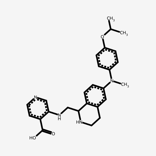 CC(C)Oc1ccc(N(C)c2ccc3c(c2)CCNC3CNc2cnccc2C(=O)O)cc1